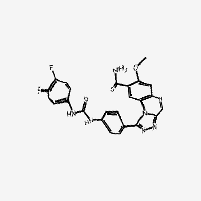 COc1cc2ncc3nnc(-c4ccc(NC(=O)Nc5ccc(F)c(F)c5)cc4)n3c2cc1C(N)=O